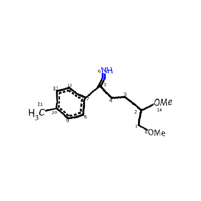 COCC(CCC(=N)c1ccc(C)cc1)OC